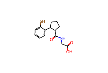 O=C(O)CNC(=O)C1CCCC1c1ccccc1S